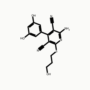 N#Cc1c(N)nc(SCCCO)c(C#N)c1-c1cc(O)cc(O)c1